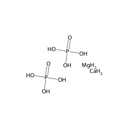 O=P(O)(O)O.O=P(O)(O)O.[CaH2].[MgH2]